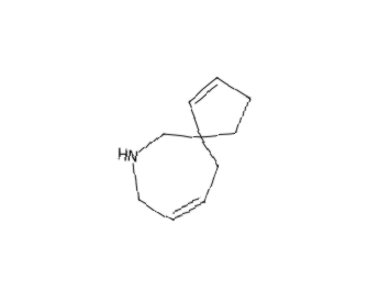 C1=CC2(CC=CCNC2)CC1